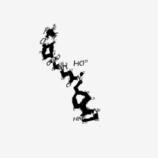 CN(CCc1ccc(C2=NCCN2)cc1)C(=O)CCNCS(=O)(=O)c1ccc(OC(F)(F)F)cc1.Cl